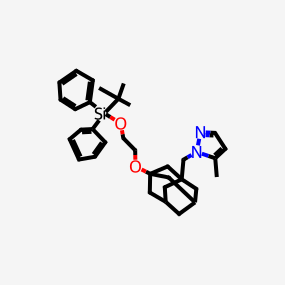 Cc1ccnn1CC12CC3CC(C1)CC(OCCO[Si](c1ccccc1)(c1ccccc1)C(C)(C)C)(C3)C2